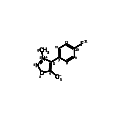 C[n+]1noc([O-])c1-c1ccc(F)cc1